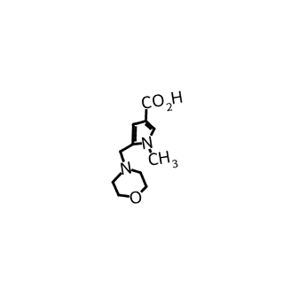 Cn1cc(C(=O)O)cc1CN1CCOCC1